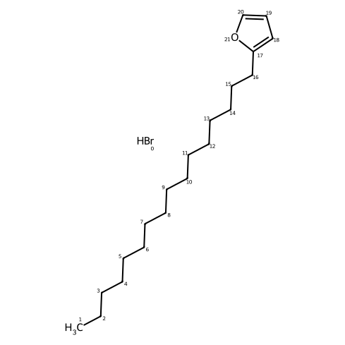 Br.CCCCCCCCCCCCCCCCc1ccco1